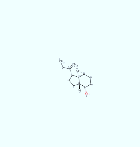 C=C(CC)[C@H]1CC[C@H]2[C@@H](O)CCC[C@]12C